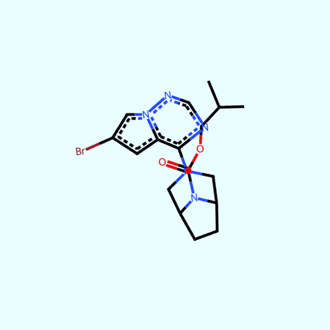 CC(C)COC(=O)N1C2CCC1CN(c1ncnn3cc(Br)cc13)C2